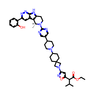 CCOC(=O)C(c1cc(N2CC3(CCC(N4CCC(c5cnc(N6CCc7[nH]c8nnc(-c9ccccc9O)cc8c7[C@H]6C)nc5)CC4)CC3)C2)no1)C(C)C